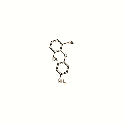 CCC(C)c1cccc(C(C)CC)c1Oc1ccc(N)cc1